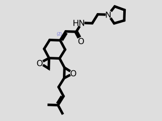 CC(C)=CCC1OC1C1C/C(=C\C(=O)NCCN2CCCC2)CCC12CO2